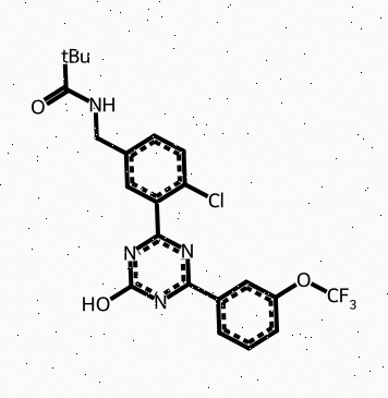 CC(C)(C)C(=O)NCc1ccc(Cl)c(-c2nc(O)nc(-c3cccc(OC(F)(F)F)c3)n2)c1